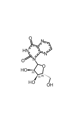 O=c1[nH]c(=O)n(C2O[C@H](CO)[C@@H](O)[C@H]2O)c2nccnc12